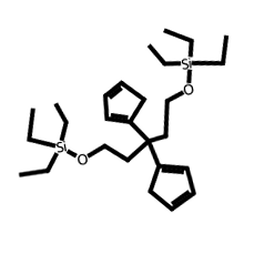 CC[Si](CC)(CC)OCCC(CCO[Si](CC)(CC)CC)(C1=CC=CC1)C1=CC=CC1